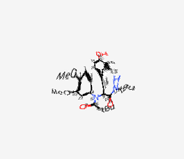 COc1ccc(N(C(=O)C(C)(C)C)C(C(=O)NC(C)(C)C)c2ccc(O)cc2)cc1OC